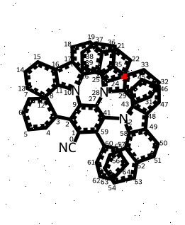 N#Cc1c(-c2ccccc2)c(-n2c3ccccc3c3ccc4ccccc4c32)c(-n2c3ccccc3c3ccccc32)c(-n2c3ccccc3c3ccc4ccccc4c32)c1-c1ccccc1